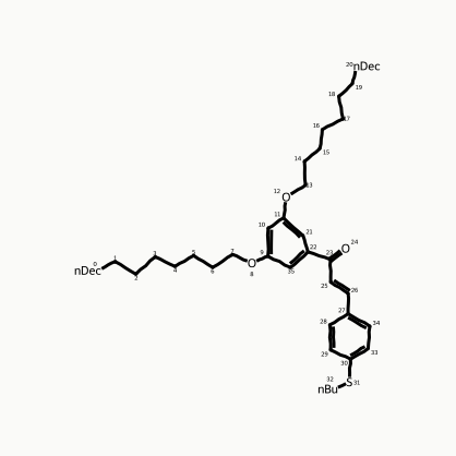 CCCCCCCCCCCCCCCCCOc1cc(OCCCCCCCCCCCCCCCCC)cc(C(=O)C=Cc2ccc(SCCCC)cc2)c1